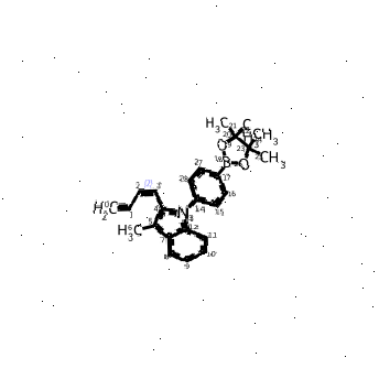 C=C/C=C\c1c(C)c2ccccc2n1-c1ccc(B2OC(C)(C)C(C)(C)O2)cc1